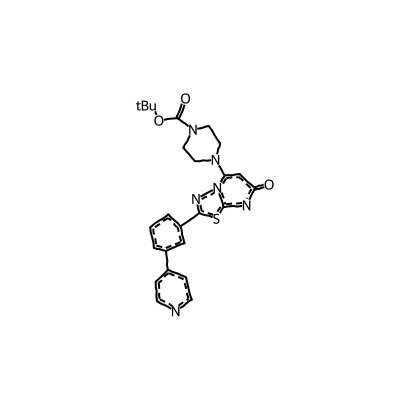 CC(C)(C)OC(=O)N1CCN(c2cc(=O)nc3sc(-c4cccc(-c5ccncc5)c4)nn23)CC1